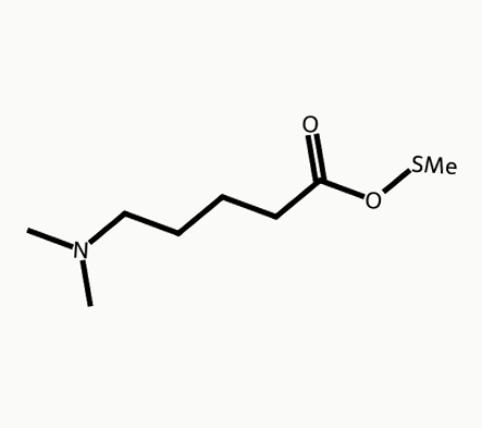 CSOC(=O)CCCCN(C)C